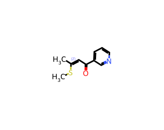 CS/C(C)=C\C(=O)c1cccnc1